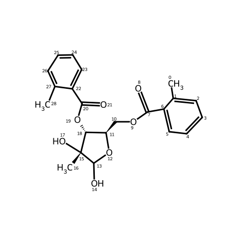 Cc1ccccc1C(=O)OC[C@H]1OC(O)[C@](C)(O)[C@@H]1OC(=O)c1ccccc1C